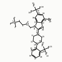 C[Si](C)(C)CCOCn1c(N2CCN(c3ncccc3C(F)(F)F)CC2)nc2c(Br)cc(C(F)(F)F)cc21